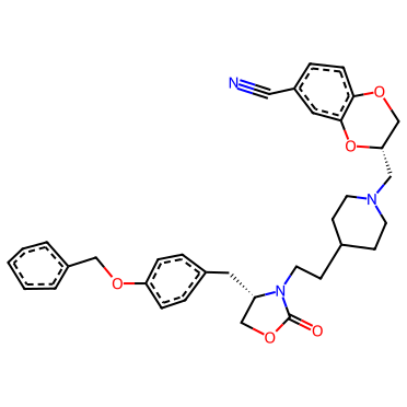 N#Cc1ccc2c(c1)O[C@@H](CN1CCC(CCN3C(=O)OC[C@@H]3Cc3ccc(OCc4ccccc4)cc3)CC1)CO2